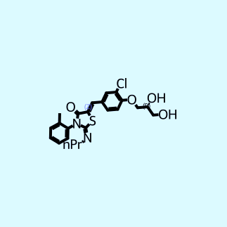 CCCN=C1S/C(=C\c2ccc(OC[C@H](O)CO)c(Cl)c2)C(=O)N1c1ccccc1C